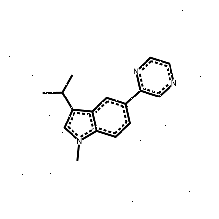 CC(C)c1cn(C)c2ccc(-c3cnccn3)cc12